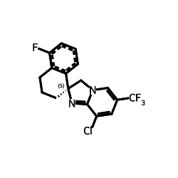 Fc1cccc2c1CCC[C@@]21CN2C=C(C(F)(F)F)C=C(Cl)C2=N1